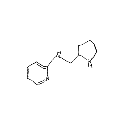 c1ccc(NCC2CCCN2)nc1